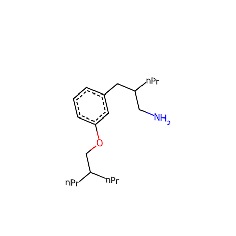 CCCC(CCC)COc1cccc(CC(CN)CCC)c1